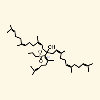 CCCS(=O)(=O)/C(=C(/C)CCC=C(C)C)C(O)(CC=C(C)CCC=C(C)CCC=C(C)C)CC=C(C)CCC=C(C)CCC=C(C)C